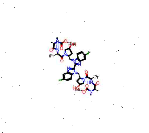 CC(C)[C@@H](NC(=O)[C@@H](C)N(C)C(=O)OC(C)(C)C)C(=O)N1CC(O)C[C@H]1Cn1c(-c2nc3cc(F)ccc3n2C[C@@H]2CC(O)CN2C(=O)[C@H](NC(=O)[C@@H](C)N(C)C(=O)OC(C)(C)C)C(C)C)nc2cc(F)ccc21